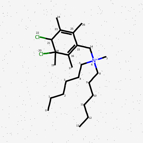 CCCCCC[N+](C)(CCCCCC)CC1=C(C)C(C)(Cl)C(Cl)C(C)=C1C